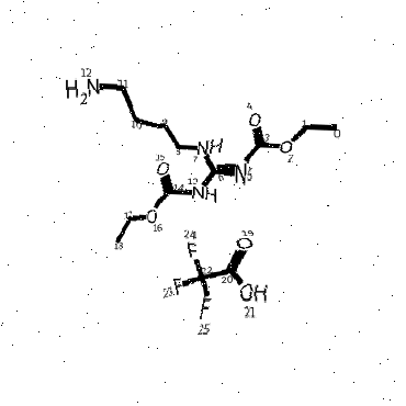 CCOC(=O)/N=C(\NCCCCN)NC(=O)OCC.O=C(O)C(F)(F)F